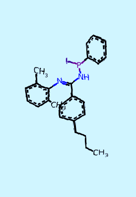 CCCCc1ccc(/C(=N\c2c(C)cccc2C)NP(I)c2ccccc2)cc1